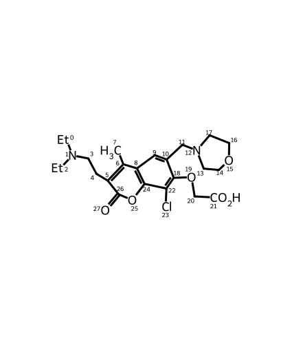 CCN(CC)CCc1c(C)c2cc(CN3CCOCC3)c(OCC(=O)O)c(Cl)c2oc1=O